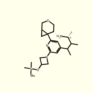 CC(c1cc(N2CC(O[Si](C)(C)C(C)(C)C)C2)nc(C23CCOCC2C3)c1)C(C)[C@@H](C)N